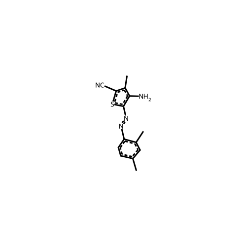 Cc1ccc(/N=N/c2sc(C#N)c(C)c2N)c(C)c1